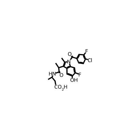 Cc1c(C(C)C(=O)NC(C)CC(=O)O)c2cc(O)c(F)cc2n1C(=O)c1ccc(Cl)c(F)c1